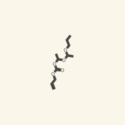 C=CCOC(=O)OC(C)OC(C)OCCC